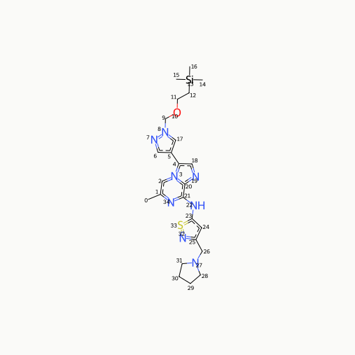 Cc1cn2c(-c3cnn(COCC[Si](C)(C)C)c3)cnc2c(Nc2cc(CN3CCCC3)ns2)n1